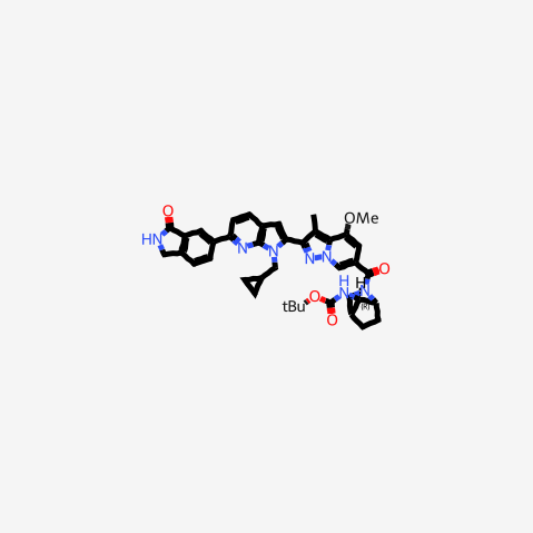 COc1cc(C(=O)N2CC3CCC2[C@@H]3NC(=O)OC(C)(C)C)cn2nc(-c3cc4ccc(-c5ccc6c(c5)C(=O)NC6)nc4n3CC3CC3)c(C)c12